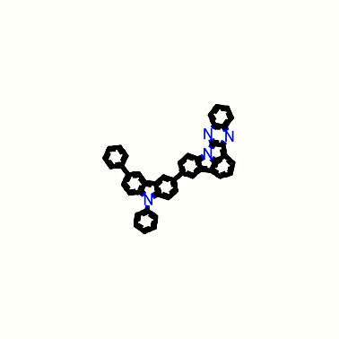 c1ccc(-c2ccc3c(c2)c2cc(-c4ccc5c(c4)c4cccc6c7nc8ccccc8nc7n5c46)ccc2n3-c2ccccc2)cc1